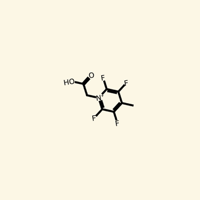 Cc1c(F)c(F)[n+](CC(=O)O)c(F)c1F